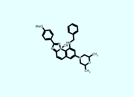 COc1ccc(C2=N[N+]3(C#N)C(=N2)C=Cc2cc(N4CC(C)OC(C)C4)cc(NCc4ccccc4)c23)cc1